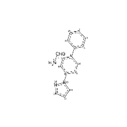 NC=O.c1ccc(-c2ccc(-n3cccn3)cc2)cc1